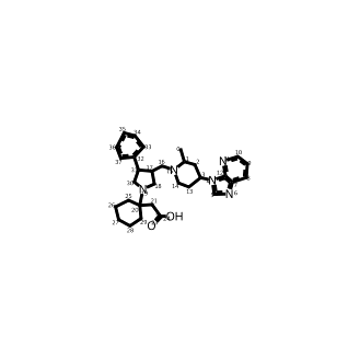 CC1CC(n2cnc3cccnc32)CCN1CC1CN(C2(CC(=O)O)CCCCC2)CC1c1ccccc1